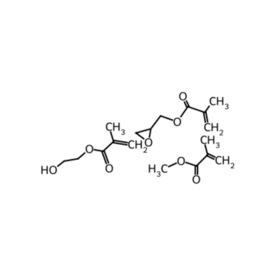 C=C(C)C(=O)OC.C=C(C)C(=O)OCC1CO1.C=C(C)C(=O)OCCO